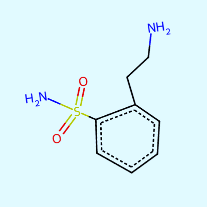 NCCc1ccccc1S(N)(=O)=O